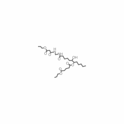 CCCCCC(OC(=O)CCCC(=O)OCCC)C(O)CCCCC(=O)NCNC(=O)CC(=O)OCCC